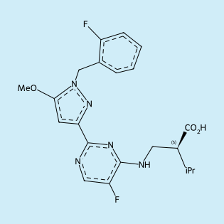 COc1cc(-c2ncc(F)c(NC[C@@H](C(=O)O)C(C)C)n2)nn1Cc1ccccc1F